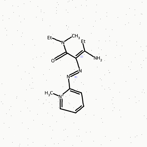 CC/C(N)=C(/N=N/c1cccc[n+]1C)C(=O)N(C)CC